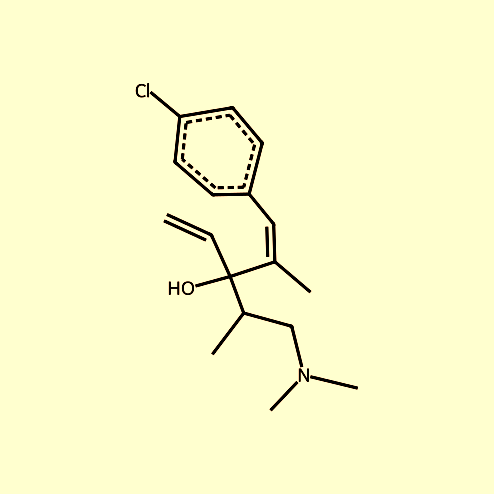 C=CC(O)(C(C)=Cc1ccc(Cl)cc1)C(C)CN(C)C